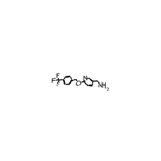 NCc1ccc(OCc2ccc(C(F)(F)F)cc2)nc1